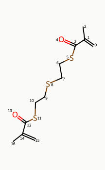 C=C(C)C(=O)SCCSCCSC(=O)C(=C)C